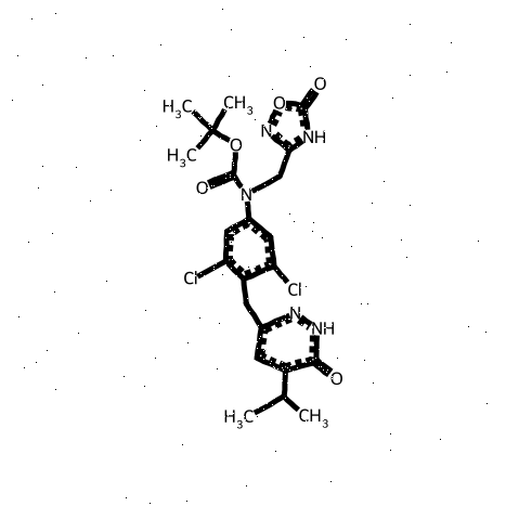 CC(C)c1cc(Cc2c(Cl)cc(N(Cc3noc(=O)[nH]3)C(=O)OC(C)(C)C)cc2Cl)n[nH]c1=O